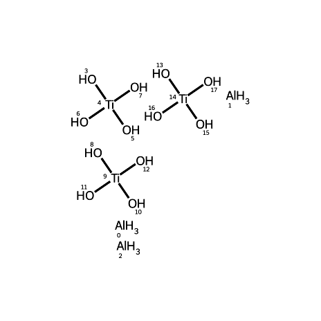 [AlH3].[AlH3].[AlH3].[OH][Ti]([OH])([OH])[OH].[OH][Ti]([OH])([OH])[OH].[OH][Ti]([OH])([OH])[OH]